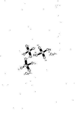 [Cu+2].[Cu+2].[O]=[Cr](=[O])([O-])[O-].[O]=[Cr](=[O])([O-])[O-].[O]=[Cr](=[O])([OH])[OH]